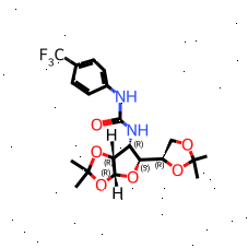 CC1(C)O[C@H]2O[C@H]([C@H]3COC(C)(C)O3)[C@@H](NC(=O)Nc3ccc(C(F)(F)F)cc3)[C@H]2O1